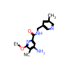 CCOc1nc(C(=O)NCc2cncc(C)c2)cc(N)c1C#N